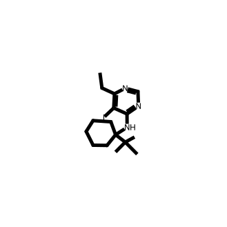 CCc1ncnc(NC2(C(C)(C)C)CCCCC2)c1I